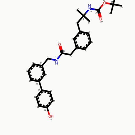 CC(C)(Cc1cccc(CC(=O)NCc2cccc(-c3ccc(O)cc3)c2)c1)NC(=O)OC(C)(C)C